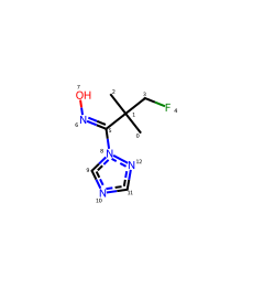 CC(C)(CF)C(=NO)n1cncn1